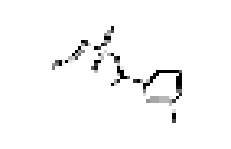 C/C(=C\S(=O)(=O)N=C=O)c1cccc(C)c1